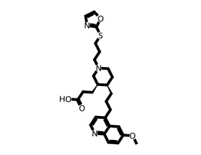 COc1ccc2nccc(CCC[C@@H]3CCN(CCCSc4ncco4)C[C@@H]3CCC(=O)O)c2c1